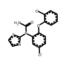 NC(=O)N(c1nccs1)c1cc(Cl)ccc1Oc1ccccc1Cl